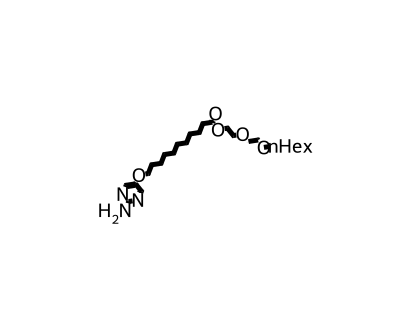 CCCCCCOCCOCCOC(=O)CCCCCCCCCCOc1cnc(N)nc1